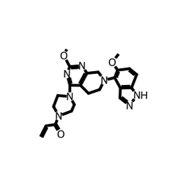 C=CC(=O)N1CCN(c2nc(OC)nc3c2CCN(c2c(OC)ccc4[nH]ncc24)C3)CC1